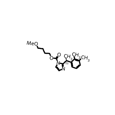 COCCCCOC(=O)n1ccnc1[C@@H](C)c1cccc(C)c1C